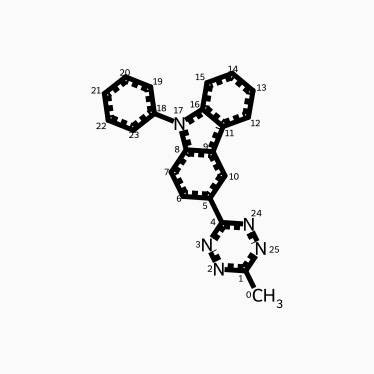 Cc1nnc(-c2ccc3c(c2)c2ccccc2n3-c2ccccc2)nn1